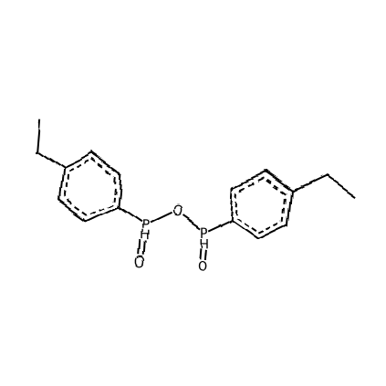 CCc1ccc([PH](=O)O[PH](=O)c2ccc(CC)cc2)cc1